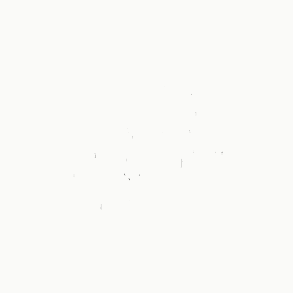 CCc1cccc(C(=O)Cl)c1COC1=NC=CC=CC1